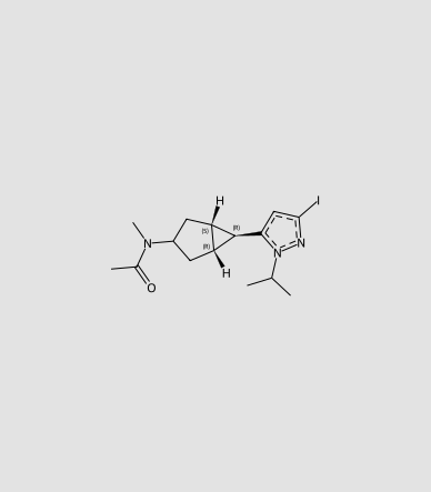 CC(=O)N(C)C1C[C@@H]2[C@H](C1)[C@H]2c1cc(I)nn1C(C)C